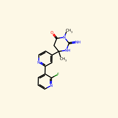 CN1C(=N)NC(C)(c2ccnc(-c3cccnc3F)c2)CC1=O